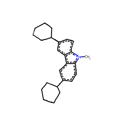 Cn1c2ccc(C3CCCCC3)cc2c2cc(C3CCCCC3)ccc21